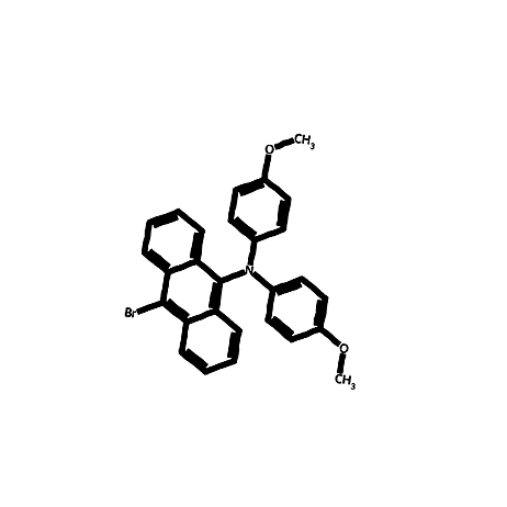 COc1ccc(N(c2ccc(OC)cc2)c2c3ccccc3c(Br)c3ccccc23)cc1